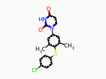 Cc1cc(-n2ccc(=O)[nH]c2=O)cc(C)c1Sc1ccc(Cl)cc1